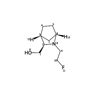 OC[C@H]1[C@@H]2CC[C@@H](C2)N1CCF